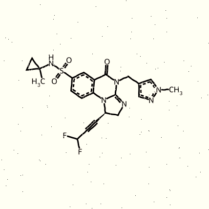 Cn1cc(CN2C(=O)c3cc(S(=O)(=O)NC4(C)CC4)ccc3N3C2=NC[C@H]3C#CC(F)F)cn1